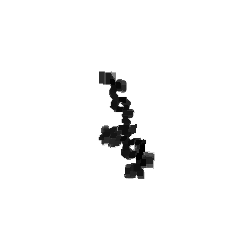 CNC(=O)Cc1ccc(OCCNCC(O[Si](C)(C)C(C)(C)C)c2ccc(NC(C)=O)nc2)cc1